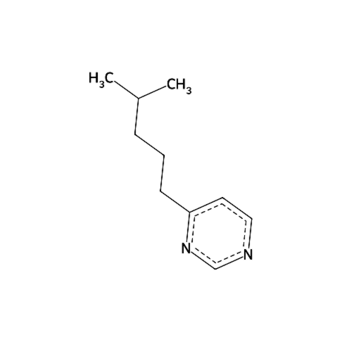 CC(C)CCCc1ccncn1